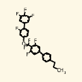 CCCc1ccc(-c2cc(F)c(C(F)(F)Oc3ccc(-c4cc(F)c(F)c(F)c4)c(F)c3)c(F)c2)cc1